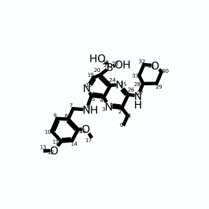 CCc1nc2c(NCc3ccc(OC)cc3OC)ncc(B(O)O)c2nc1NC1CCOCC1